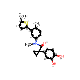 Cc1ccc(N(C)C(=O)C2(c3ccc(O)c(O)c3)CC2)cc1-c1ccc(C(=O)O)s1